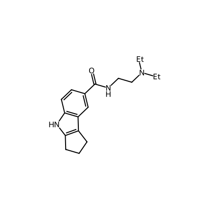 CCN(CC)CCNC(=O)c1ccc2[nH]c3c(c2c1)CCC3